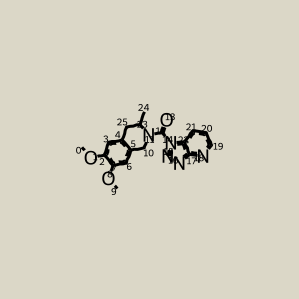 COc1cc2c(cc1OC)CN(C(=O)n1nnc3ncccc31)C(C)C2